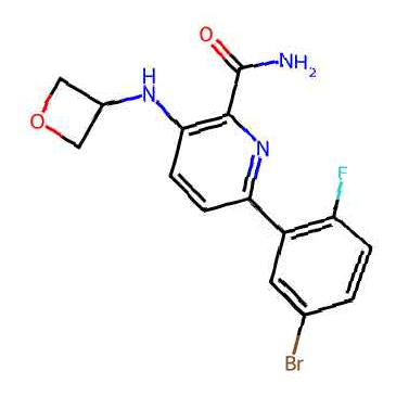 NC(=O)c1nc(-c2cc(Br)ccc2F)ccc1NC1COC1